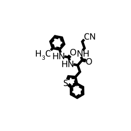 Cc1ccccc1NC(=O)NC(Cc1csc2ccccc12)C(=O)NCCC#N